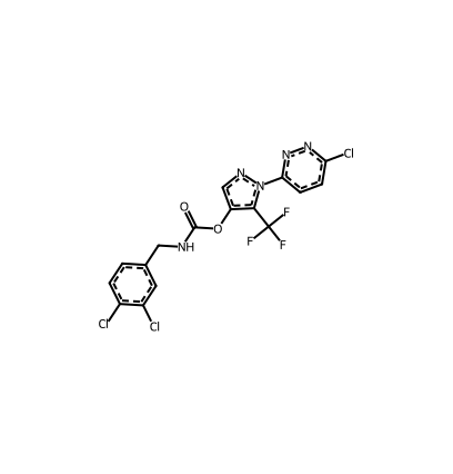 O=C(NCc1ccc(Cl)c(Cl)c1)Oc1cnn(-c2ccc(Cl)nn2)c1C(F)(F)F